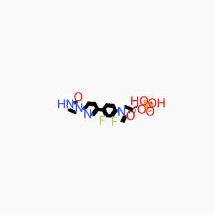 C=C1O[C@@H](COP(=O)(O)O)CN1c1ccc(-c2ccc(N3CCNC3=O)nc2)c(F)c1F